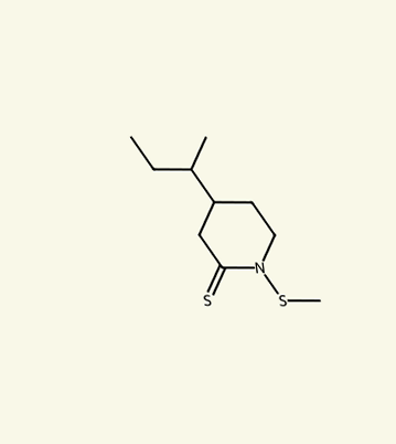 CCC(C)C1CCN(SC)C(=S)C1